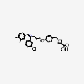 Cc1ccc(/C=C(/CCCOc2ccc(CN3CC(C(=O)O)C3)cc2)c2cccc(Cl)c2)cc1C